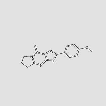 COc1ccc(-c2cc3c(=S)n4c(nc3o2)CCC4)cc1